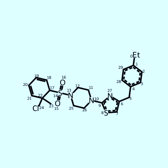 CCc1ccc(Cc2csc(N3CCN(S(=O)(=O)C4C=CC=CC4(C)Cl)CC3)n2)cc1